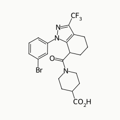 O=C(O)C1CCN(C(=O)C2CCCc3c(C(F)(F)F)nn(-c4cccc(Br)c4)c32)CC1